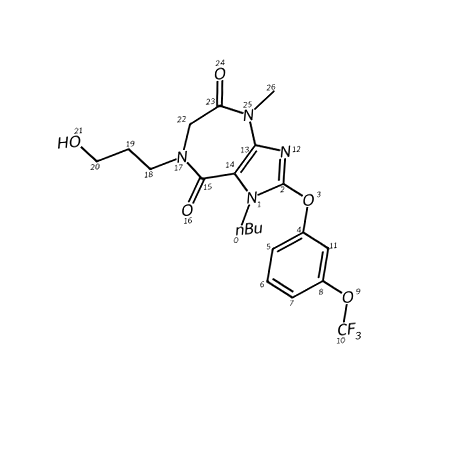 CCCCn1c(Oc2cccc(OC(F)(F)F)c2)nc2c1C(=O)N(CCCO)CC(=O)N2C